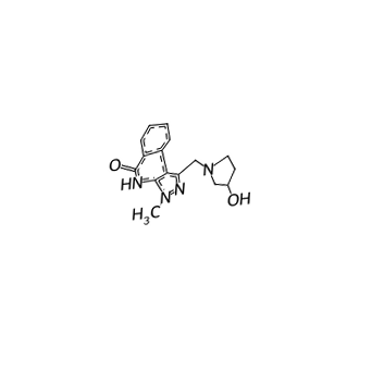 Cn1nc(CN2CCC(O)C2)c2c3ccccc3c(=O)[nH]c21